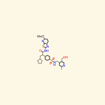 COc1ccc2nc(NC(=O)C(CC3CCCC3)c3ccc(S(=O)(=O)NCc4cc(C)ncc4CO)cc3)sc2n1